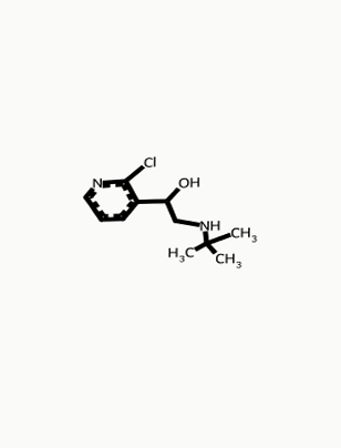 CC(C)(C)NCC(O)c1cccnc1Cl